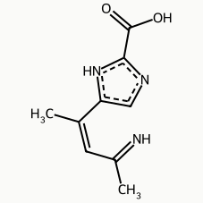 CC(=N)/C=C(/C)c1cnc(C(=O)O)[nH]1